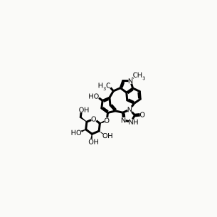 CC1c2cc(c(O[C@@H]3O[C@H](CO)[C@H](O)[C@H](O)[C@H]3O)cc2O)-c2n[nH]c(=O)n2-c2ccc3c(c2)c1cn3C